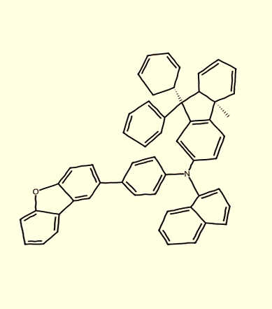 C[C@@]12C=CC=CC1C(c1ccccc1)([C@H]1C=CC=CC1)c1cc(N(c3ccc(-c4ccc5oc6ccccc6c5c4)cc3)c3cccc4ccccc34)ccc12